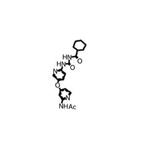 CC(=O)Nc1cc(Oc2ccc(NC(=O)NC(=O)C3CCCCC3)nc2)ccn1